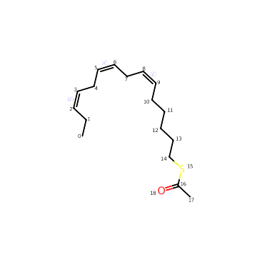 CC/C=C\C/C=C\C/C=C\CCCCCSC(C)=O